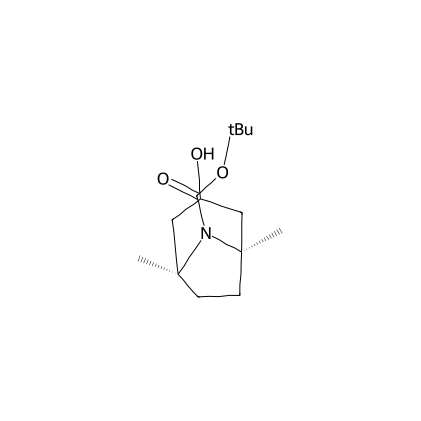 CC(C)(C)OC(=O)N1[C@@]2(C)CC[C@]1(C)CC(O)C2